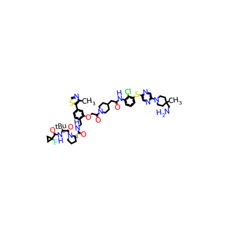 Cc1ncsc1-c1ccc(CNC(=O)[C@@H]2CCCN2C(=O)[C@@H](NC(=O)C2(F)CC2)C(C)(C)C)c(OCC(=O)N2CCC(CC(=O)Nc3cccc(Sc4cnc(N5CCC(C)(CN)CC5)cn4)c3Cl)CC2)c1